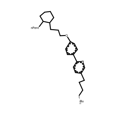 CCCCCC1CCCCC1CCCOc1ccc(-c2ccc(CCCC[C@@H](C)CC)cn2)cc1